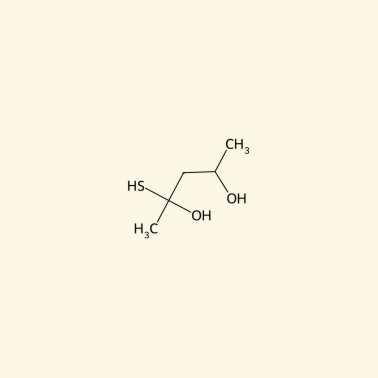 CC(O)CC(C)(O)S